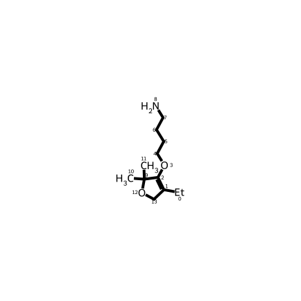 CCC1=C(OCCCCN)C(C)(C)OC1